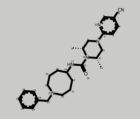 C[C@@H]1CN(c2ccc(C#N)cn2)C[C@H](C)N1C(=O)NC1CCCN(Cc2ccccc2)CCC1